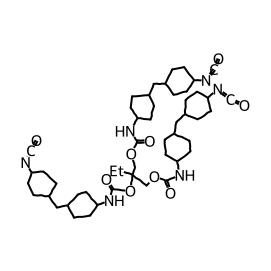 CCC(COC(=O)NC1CCC(CC2CCC(N=C=O)CC2)CC1)(COC(=O)NC1CCC(CC2CCC(N=C=O)CC2)CC1)OC(=O)NC1CCC(CC2CCC(N=C=O)CC2)CC1